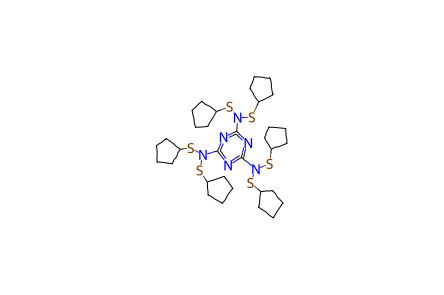 C1CCC(SN(SC2CCCC2)c2nc(N(SC3CCCC3)SC3CCCC3)nc(N(SC3CCCC3)SC3CCCC3)n2)C1